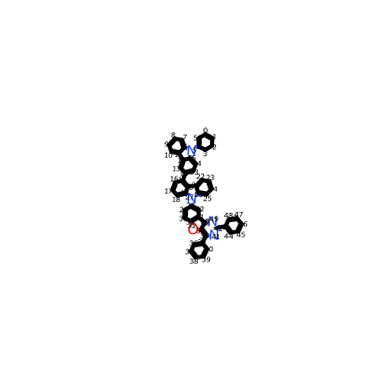 C1=CCCC(n2c3ccccc3c3cc(-c4cccc5c4c4ccccc4n5-c4ccc5oc6c(-c7ccccc7)nc(-c7ccccc7)nc6c5c4)ccc32)=C1